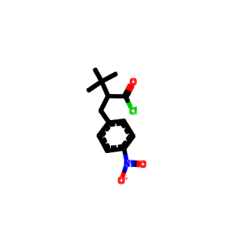 CC(C)(C)C(Cc1ccc([N+](=O)[O-])cc1)C(=O)Cl